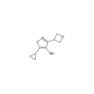 CC(C)(C)c1c(C2COC2)nsc1C1CC1